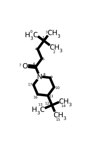 CC(C)(C)CCC(=O)N1CCC(C(C)(C)C)CC1